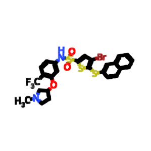 CN1CCC(Oc2cc(NS(=O)(=O)c3cc(Br)c(Sc4ccc5ccccc5c4)s3)ccc2C(F)(F)F)C1